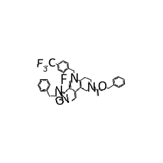 C=C(OCc1ccccc1)N1CCC2=C(C1)/C(=C/C)C(c1noc(Cc3ccccc3)n1)=CN2Cc1ccc(C(F)(F)F)cc1F